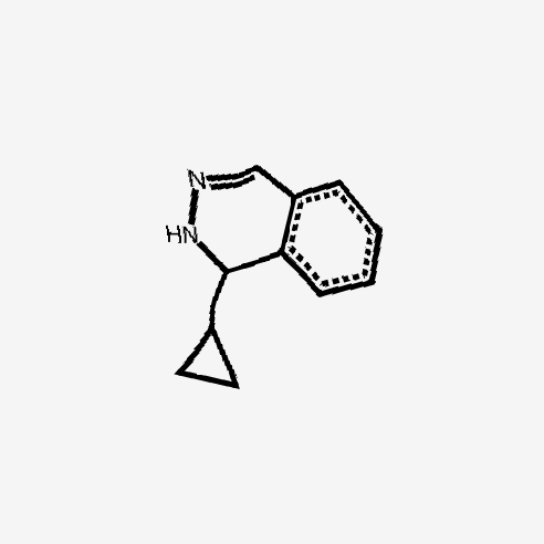 C1=NNC(C2CC2)c2ccccc21